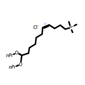 CCCOC(CCCCC/C=C\CCC[P+](C)(C)C)OCCC.[Cl-]